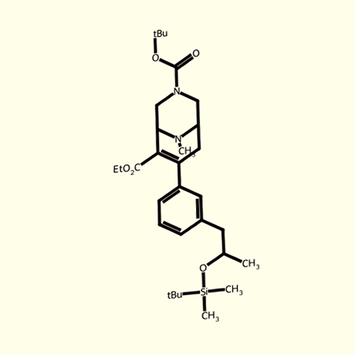 CCOC(=O)C1=C(c2cccc(CC(C)O[Si](C)(C)C(C)(C)C)c2)CC2CN(C(=O)OC(C)(C)C)CC1N2C